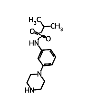 CC(C)S(=O)(=O)Nc1cccc(N2CCNCC2)c1